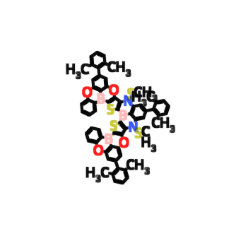 CSN1c2cc(-c3c(C)cccc3C)cc3c2B(c2sc4c(c21)Oc1cc(-c2c(C)cccc2C)cc2c1B4c1ccccc1O2)c1sc2c(c1N3SC)Oc1cc(-c3c(C)cccc3C)cc3c1B2c1ccccc1O3